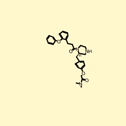 CN(C)C(=O)COc1ccc(C[C@@H]2CNCCN2C(=O)CCc2ccccc2Oc2ccccc2)cc1